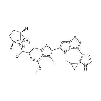 COc1cc(C(=O)N2C[C@H]3CC[C@@H]2[C@@H]3N)cc2nc(-c3cc4scc(-c5cc[nH]n5)c4n3CC3CC3)n(C)c12